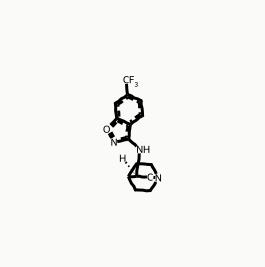 FC(F)(F)c1ccc2c(N[C@H]3CN4CCC3CC4)noc2c1